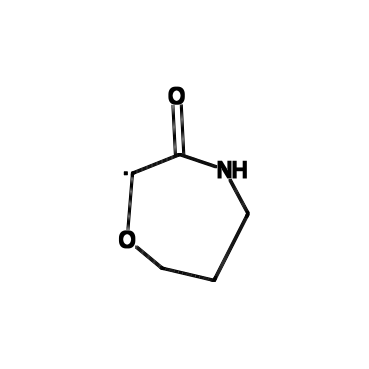 O=C1[CH]OCCCN1